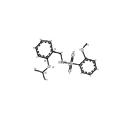 COc1ccccc1S(=O)(=O)NCc1ccccc1OC(C)C